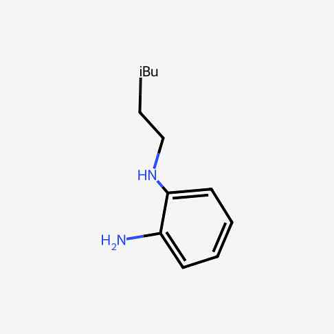 CCC(C)CCNc1ccccc1N